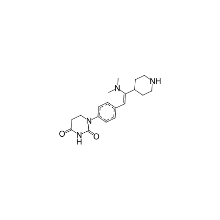 CN(C)/C(=C\c1ccc(N2CCC(=O)NC2=O)cc1)C1CCNCC1